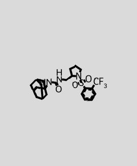 O=C(NCC1CCCN1S(=O)(=O)c1ccccc1C(F)(F)F)NC12CC3CC(CC(C3)C1)C2